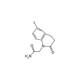 NC(=O)CN1C(=O)CCc2cc(I)ccc21